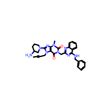 CC#CCn1c(N2CCCC(N)C2)nc2c1c(=O)n(Cc1nc(NCc3ccccc3)c3ccccc3n1)c(=O)n2C